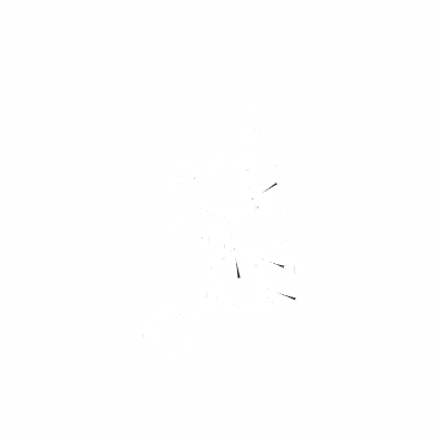 CC#CC1(C)CC(C)(C)C(C)[C@@H]2[C@@]3(C)C[C@@H](c4ccoc4)C[C@H](C)[C@H]3CC[C@]21C